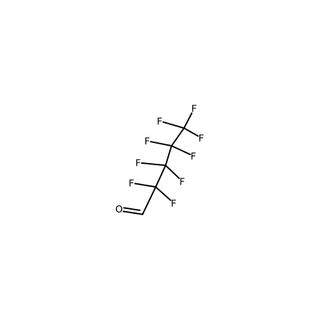 O=CC(F)(F)C(F)(F)C(F)(F)C(F)(F)F